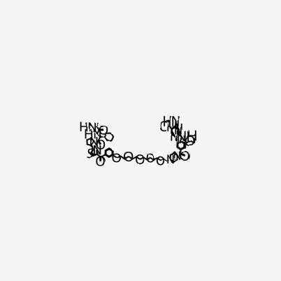 CNc1nc(Nc2ccc(C(=O)N3CCN(CCOCCOCCOCCOCCOc4cccc(C(=O)c5csc(C6CCCN6C(=O)[C@@H](NC(=O)[C@H](C)NC)C6CCCCC6)n5)c4)CC3)cc2OC)ncc1Cl